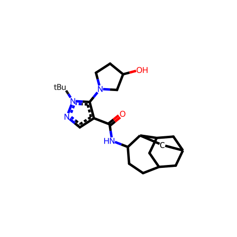 CC(C)(C)n1ncc(C(=O)NC2CCC3CC4CC(C3)C2C4)c1N1CCC(O)C1